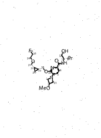 COC1CN(c2ccc(C(=O)N[C@H](CO)C(C)C)nc2OC[C@@H]2C[C@@H]2COCCF)C1